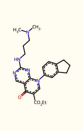 CCOC(=O)c1cn(-c2ccc3c(c2)CCC3)c2nc(NCCCN(C)C)ncc2c1=O